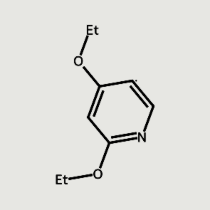 CCOc1[c]cnc(OCC)c1